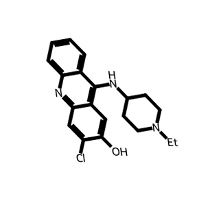 CCN1CCC(Nc2c3ccccc3nc3cc(Cl)c(O)cc23)CC1